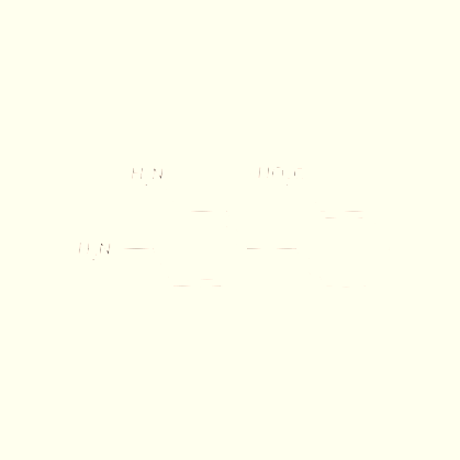 Cc1c(-c2ccccc2C(=O)O)ccc(N)c1N